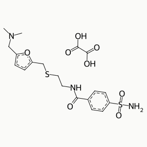 CN(C)Cc1ccc(CSCCNC(=O)c2ccc(S(N)(=O)=O)cc2)o1.O=C(O)C(=O)O